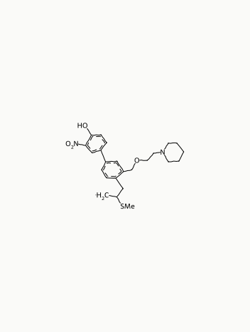 [CH2]C(Cc1ccc(-c2ccc(O)c([N+](=O)[O-])c2)cc1COCCN1CCCCC1)SC